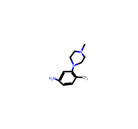 CN1CCN(c2cc(N)ccc2C(F)(F)F)CC1